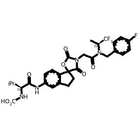 CC(C)[C@H](NC(=O)O)C(=O)Nc1ccc2c(c1)CCC21OC(=O)N(CC(=O)N(Cc2ccc(F)cc2)[C@@H](C)C(F)(F)F)C1=O